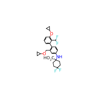 O=C(O)C1(Nc2ccc(-c3cccc(OC4CC4)c3C(F)F)c(COC3CC3)c2)CCC(F)(F)CC1